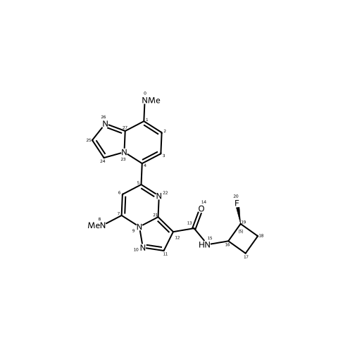 CNc1ccc(-c2cc(NC)n3ncc(C(=O)NC4CC[C@@H]4F)c3n2)n2ccnc12